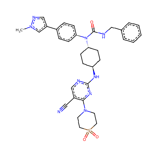 Cn1cc(-c2ccc(N(C(=O)NCc3ccccc3)[C@H]3CC[C@H](Nc4ncc(C#N)c(N5CCS(=O)(=O)CC5)n4)CC3)cc2)cn1